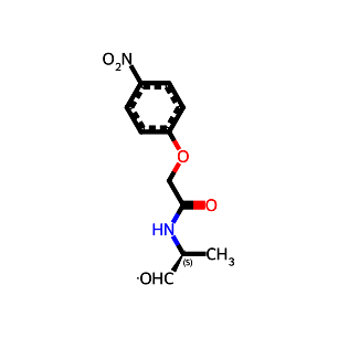 C[C@@H]([C]=O)NC(=O)COc1ccc([N+](=O)[O-])cc1